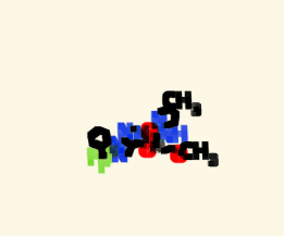 COCC[C@H](Oc1ncnc2c1cnn2-c1ccccc1C(F)(F)F)C(=O)Nc1ccc(C)cn1